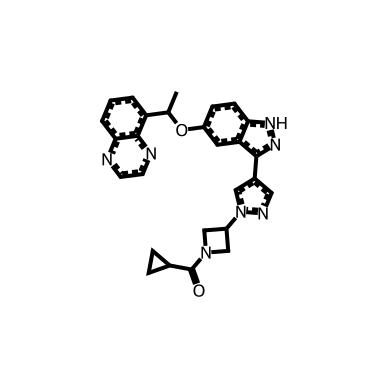 CC(Oc1ccc2[nH]nc(-c3cnn(C4CN(C(=O)C5CC5)C4)c3)c2c1)c1cccc2nccnc12